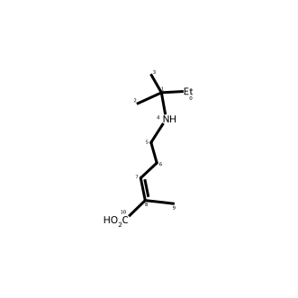 CCC(C)(C)NCCC=C(C)C(=O)O